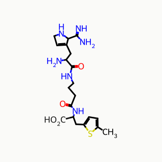 Cc1ccc(CC(NC(=O)CCCNC(=O)C(N)CC2=CCNC2C(=N)N)C(=O)O)s1